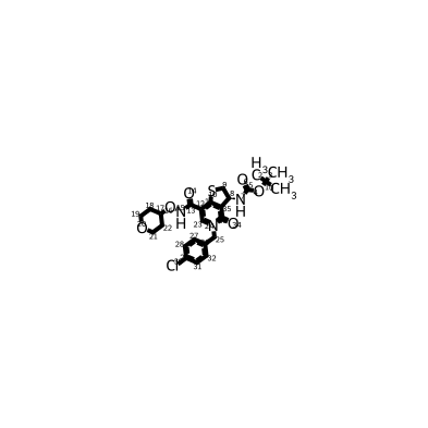 CC(C)(C)OC(=O)N[C@H]1CSc2c(C(=O)NOC3CCOCC3)cn(Cc3ccc(Cl)cc3)c(=O)c21